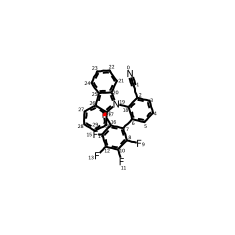 N#Cc1cccc(-c2c(F)c(F)c(F)c(F)c2F)c1-n1c2ccccc2c2ccccc21